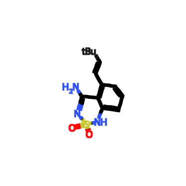 CC(C)(C)/C=C/c1cccc2c1C(N)=NS(=O)(=O)N2